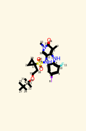 Cc1c(Nc2ccc(I)cc2F)c(NS(=O)(=O)C2(CCO[Si](C)(C)C(C)(C)C)CC2)cn(C)c1=O